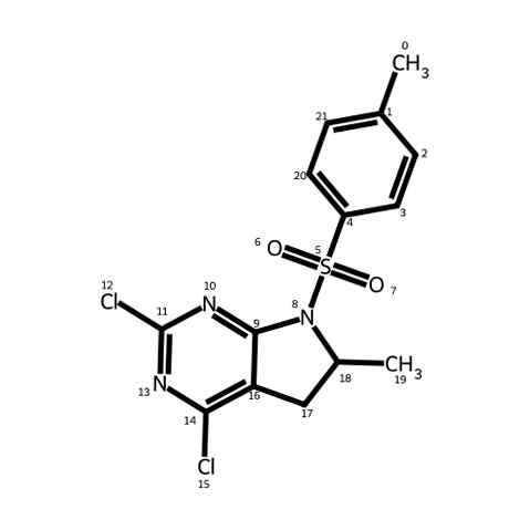 Cc1ccc(S(=O)(=O)N2c3nc(Cl)nc(Cl)c3CC2C)cc1